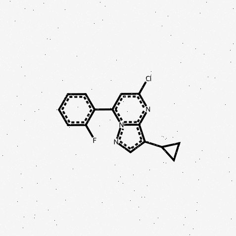 Fc1c[c]ccc1-c1cc(Cl)nc2c(C3CC3)cnn12